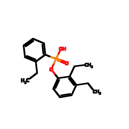 CCc1ccccc1P(=O)(O)Oc1cccc(CC)c1CC